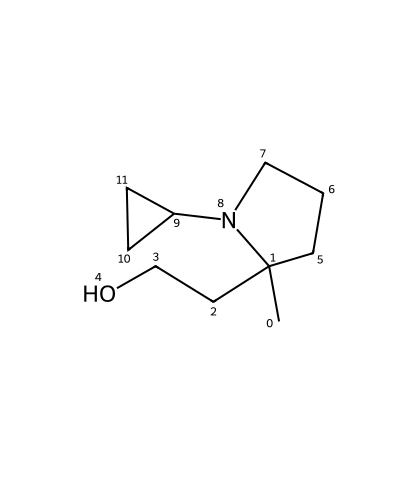 CC1(CCO)CCCN1C1CC1